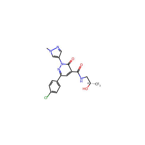 Cn1cc(-n2nc(-c3ccc(Cl)cc3)cc(C(=O)NC[C@@H](O)C(F)(F)F)c2=O)cn1